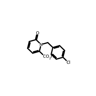 O=C(O)c1cccc(=O)n1Cc1ccc(Cl)cc1